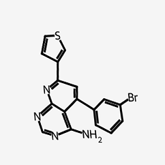 Nc1ncnc2nc(-c3ccsc3)cc(-c3cccc(Br)c3)c12